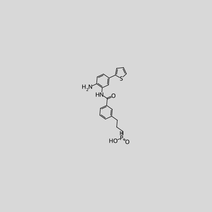 Nc1ccc(-c2cccs2)cc1NC(=O)c1cccc(CCC[PH](=O)O)c1